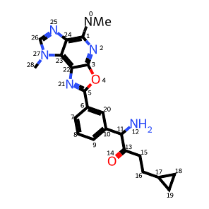 CNc1nc2oc(-c3cccc(C(N)C(=O)CCC4CC4)c3)nc2c2c1ncn2C